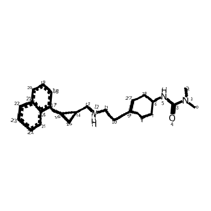 CN(C)C(=O)NC1CCC(CCNCC2CC2c2cccc3ccccc23)CC1